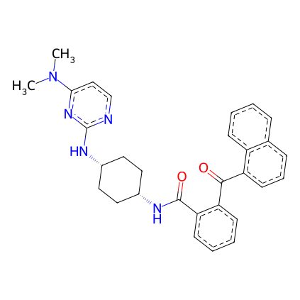 CN(C)c1ccnc(N[C@H]2CC[C@@H](NC(=O)c3ccccc3C(=O)c3cccc4ccccc34)CC2)n1